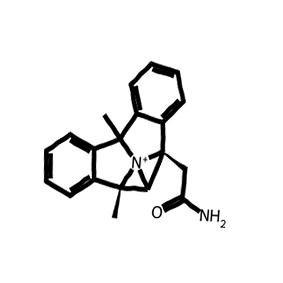 CC12c3ccccc3[C@@]3(C)C4[C@@](CC(N)=O)(c5ccccc51)[N+]423